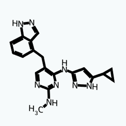 CNc1ncc(Cc2cccc3[nH]ncc23)c(Nc2cc(C3CC3)[nH]n2)n1